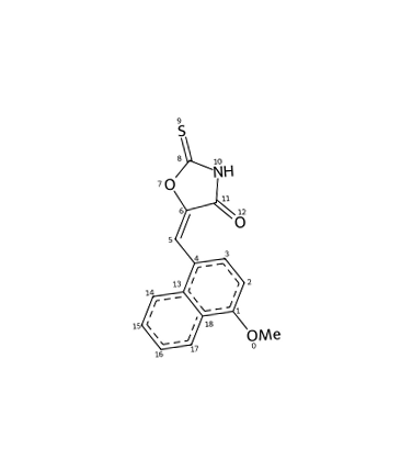 COc1ccc(C=C2OC(=S)NC2=O)c2ccccc12